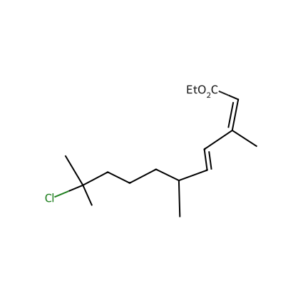 CCOC(=O)C=C(C)C=CC(C)CCCC(C)(C)Cl